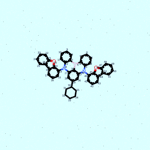 c1ccc2c(c1)B1c3ccccc3N(c3cccc4c3oc3ccccc34)c3cc(C4CCCCC4)cc(c31)N2c1cccc2c1oc1ccccc12